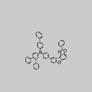 c1ccc(-c2ccc(N(c3ccc(-c4ccc5oc6ccc7oc(-c8ccccc8)nc7c6c5c4)cc3)c3ccc(-c4ccccc4)c(-c4ccccc4)c3)cc2)cc1